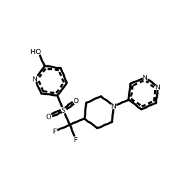 O=S(=O)(c1ccc(O)nc1)C(F)(F)C1CCN(c2ccnnc2)CC1